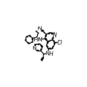 C#CC(Nc1cc(Cl)c2ncc(C#N)c(NC(CC)c3ccccc3)c2c1)c1cccnc1